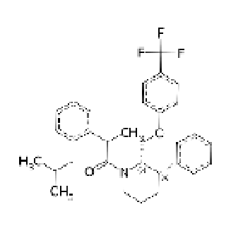 CC(C)Cc1ccccc1C(C)C(=O)N1CCC[C@@H](c2ccccc2)[C@H]1COc1ccc(C(F)(F)F)cc1